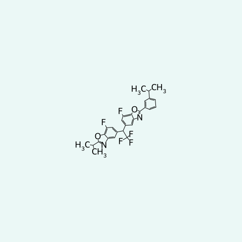 CC(C)c1cccc(-c2nc3cc(C(c4cc(F)c5oc(C(C)C)nc5c4)C(F)(F)F)cc(F)c3o2)c1